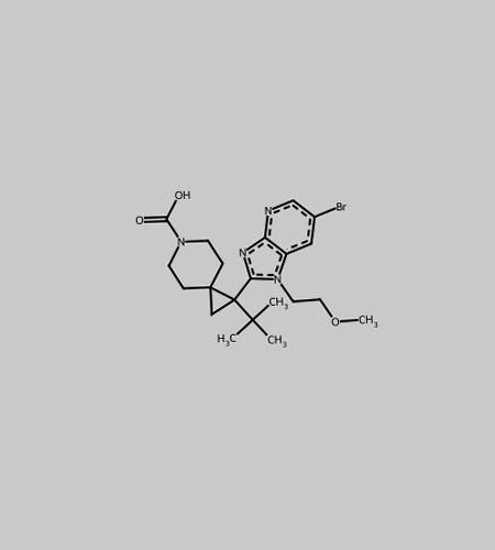 COCCn1c(C2(C(C)(C)C)CC23CCN(C(=O)O)CC3)nc2ncc(Br)cc21